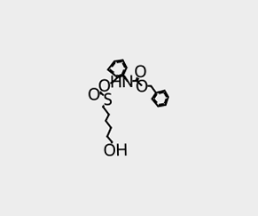 O=C(Nc1ccccc1COC(=O)SCCCCCCO)OCc1ccccc1